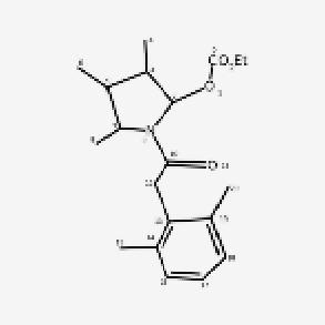 CCOC(=O)OC1C(C)C(C)C(C)N1C(=O)Cc1c(C)cccc1C